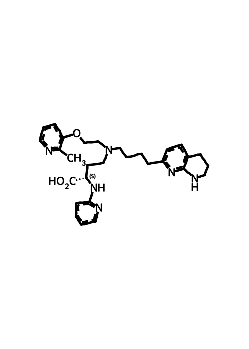 Cc1ncccc1OCCN(CCCCc1ccc2c(n1)NCCC2)CC[C@H](Nc1ccccn1)C(=O)O